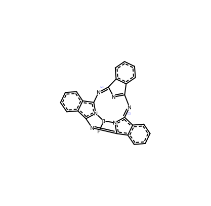 FB1n2c3c4ccccc4c2/N=C2N=C(/N=c4/c5ccccc5c(n41)=N3)c1ccccc1\2